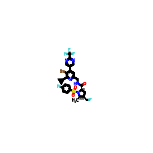 C[C@H]1[C@H](CF)C[C@@H](C(=O)NCc2cc(-c3cnc(C(F)(F)F)nc3)c(Br)c(C3CC3)n2)N1S(=O)(=O)c1ccc(F)cc1